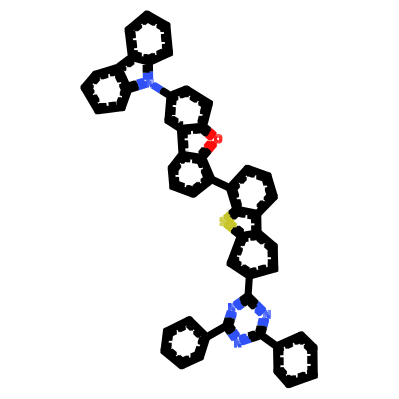 c1ccc(-c2nc(-c3ccccc3)nc(-c3ccc4c(c3)sc3c(-c5cccc6c5oc5ccc(-n7c8ccccc8c8ccccc87)cc56)cccc34)n2)cc1